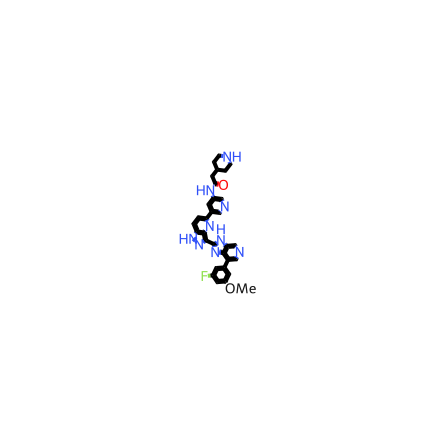 COc1cc(F)cc(-c2cncc3[nH]c(-c4n[nH]c5ccc(-c6cncc(NC(=O)CC7CCNCC7)c6)nc45)nc23)c1